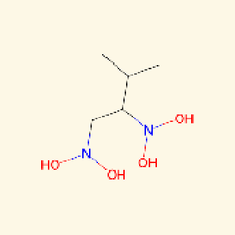 CC(C)C(CN(O)O)N(O)O